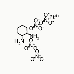 N[C@@H]1CCCC[C@H]1N.O=[N+]([O-])[O-].O=[N+]([O-])[O-].O=[N+]([O-])[O-].O=[N+]([O-])[O-].[Pt+4]